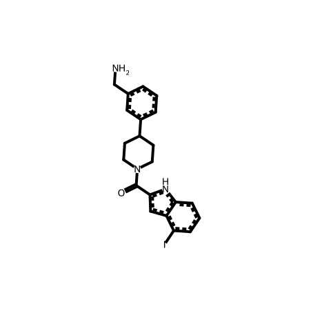 NCc1cccc(C2CCN(C(=O)c3cc4c(I)cccc4[nH]3)CC2)c1